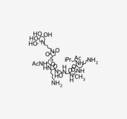 CC(=O)NC(CSC1CC(=O)N(CCCCN2C[C@@H](O)[C@@H](O)[C@H](O)[C@H]2CO)C1=O)C(=O)NC(CCCCN)C(=O)NCC(=O)NCC(=O)NC(C)C(=O)NC(CCCCN)C(=O)NC(CC(C)C)C(C)=O